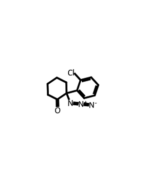 [N-]=[N+]=NC1(c2ccccc2Cl)CCCCC1=O